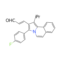 CC(C)c1c(C=CC=O)c(-c2ccc(F)cc2)n2ccc3ccccc3c12